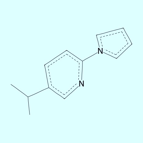 CC(C)c1ccc(-n2cccc2)nc1